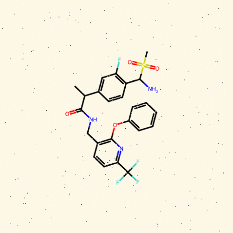 CC(C(=O)NCc1ccc(C(F)(F)F)nc1Oc1ccccc1)c1ccc(C(N)S(C)(=O)=O)c(F)c1